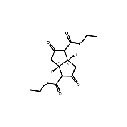 CCOC(=O)C1C(=O)C[C@H]2C(C(=O)OCC)C(=O)C[C@@H]12